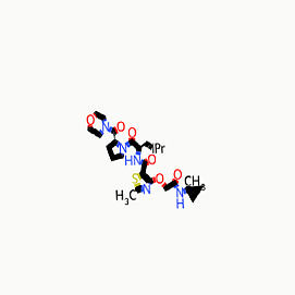 Cc1nc(OCC(=O)NC2(C)CC2)c(C(=O)N[C@H](CC(C)C)C(=O)N2CCC[C@@H]2C(=O)N2CCOCC2)s1